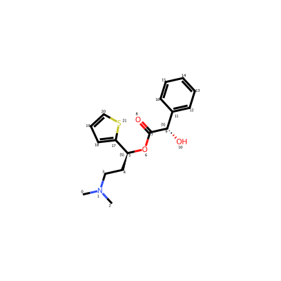 CN(C)CC[C@H](OC(=O)[C@@H](O)c1ccccc1)c1cccs1